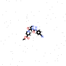 CCOC(=O)C1CCN(C(=O)C(C)(CC)NC(=O)Nc2ccc(C#N)cc2)CC1